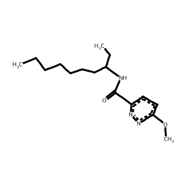 CCCCCCCC(CC)NC(=O)c1ccc(OC)nn1